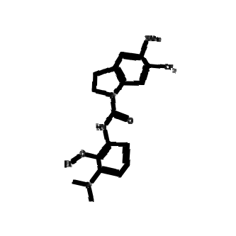 CCOc1c(NC(=O)N2CCc3cc(SC)c(C(F)(F)F)cc32)cccc1N(C)C